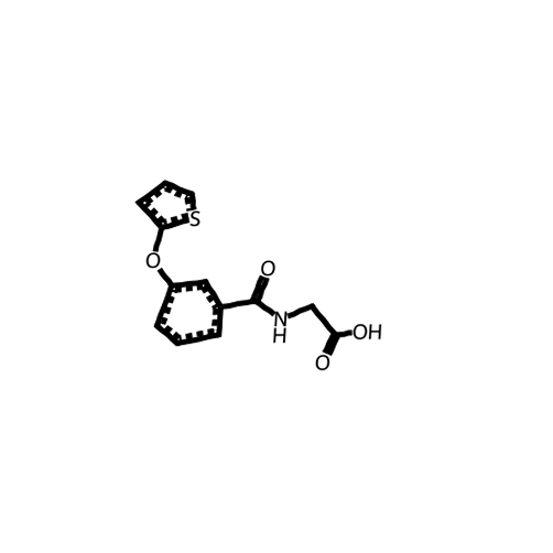 O=C(O)CNC(=O)c1cccc(Oc2cccs2)c1